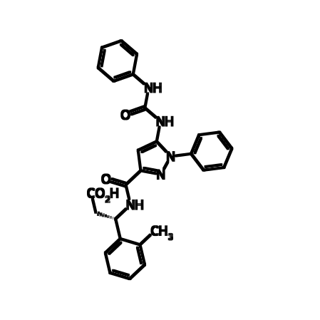 Cc1ccccc1[C@H](CC(=O)O)NC(=O)c1cc(NC(=O)Nc2ccccc2)n(-c2ccccc2)n1